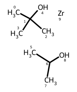 CC(C)(C)O.CC(C)O.[Zr]